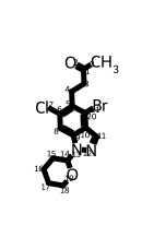 CC(=O)CCc1c(Cl)cc2c(cnn2C2CCCCO2)c1Br